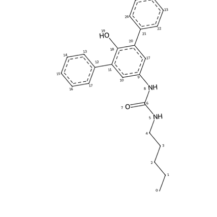 CCCCCNC(=O)Nc1cc(-c2ccccc2)c(O)c(-c2ccccc2)c1